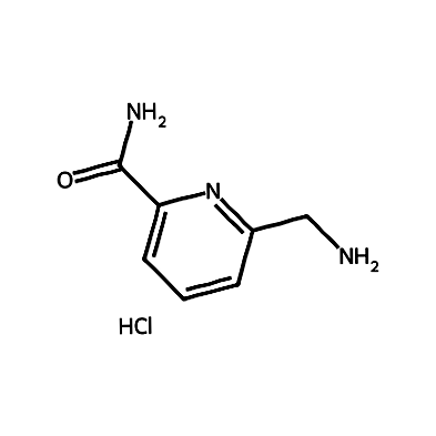 Cl.NCc1cccc(C(N)=O)n1